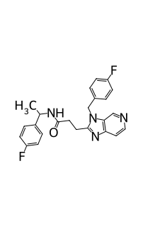 CC(NC(=O)CCc1nc2ccncc2n1Cc1ccc(F)cc1)c1ccc(F)cc1